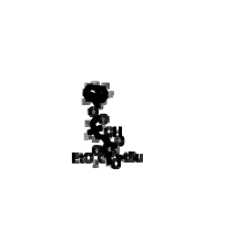 CCOC(=O)[C@]12CO[C@H](C(C)(C)C)N1C(=O)/C(=C(\O)CC(C)(C)CC(=O)OCC13CC4CC(CC(C4)C1)C3)C2=O